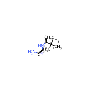 C=C(N/C=C\N)C(C)(C)C